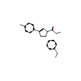 CCC(=O)C1C=C(c2ccc(C)cc2)C[C@H]1c1ccc(CC)cc1